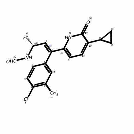 CC[C@H](/C=C(\c1ccc(Cl)c(C)c1)c1ccc(C2CC2)c(=O)[nH]1)NC=O